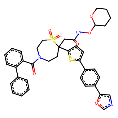 O=C(CC1(c2ccc(-c3ccc(-c4cnco4)cc3)s2)CCN(C(=O)c2ccccc2-c2ccccc2)CCS1(=O)=O)NOC1CCCCO1